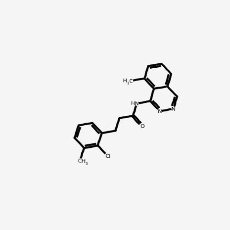 Cc1cccc(CCC(=O)Nc2nncc3cccc(C)c23)c1Cl